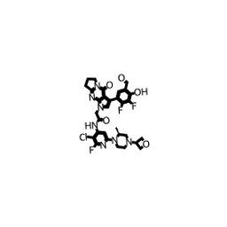 C[C@H]1CN(C2COC2)CCN1c1cc(NC(=O)Cn2cc(-c3cc(C=O)c(O)c(F)c3F)c3c(=O)n4c(nc32)CCC4)c(Cl)c(F)n1